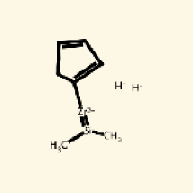 C[Si](C)=[Zr+2][C]1=CC=CC1.[H-].[H-]